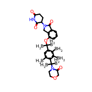 Bc1cc(C(B)(B)Oc2cccc3c2CN(C2CCC(=O)NC2=O)C3=O)c(B)c(B)c1C(B)(B)N1CCOCC1=O